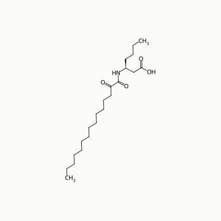 CCCCCCCCCCCCCC(=O)C(=O)N[C@@H](CCCC)CC(=O)O